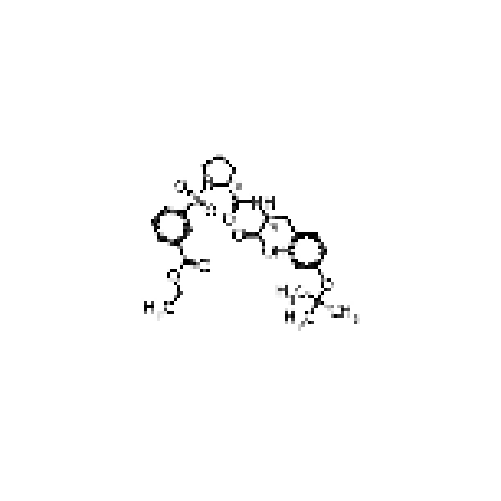 CCOC(=O)c1cccc(S(=O)(=O)N2CCC[C@H]2C(=O)N[C@@H](Cc2ccc(OC(C)(C)C)cc2)C(=O)O)c1